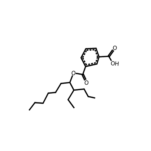 CCCCCCC(OC(=O)c1cccc(C(=O)O)c1)C(CC)CCC